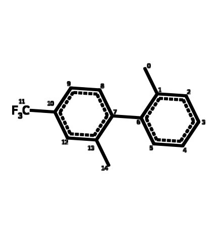 Cc1ccccc1-c1ccc(C(F)(F)F)cc1C